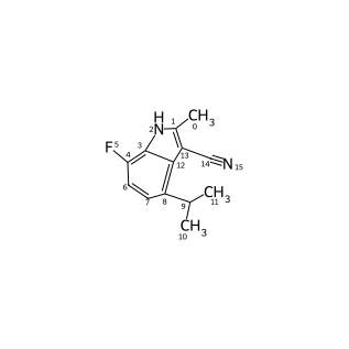 Cc1[nH]c2c(F)ccc(C(C)C)c2c1C#N